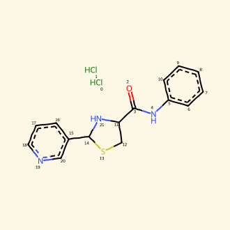 Cl.Cl.O=C(Nc1ccccc1)C1CSC(c2cccnc2)N1